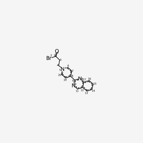 O=C(Br)CC[n+]1ccc(-c2ncc3ccccc3n2)cc1